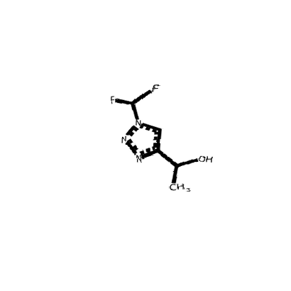 CC(O)c1cn(C(F)F)nn1